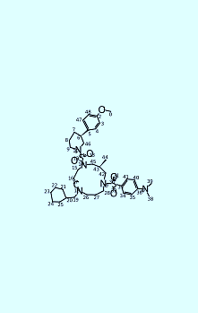 COc1ccc([C@@H]2CCCN(S(=O)(=O)N3CCCN(CC4CCCCC4)CCCN(S(=O)(=O)c4ccc(N(C)C)cc4)C[C@H](C)C3)C2)cc1